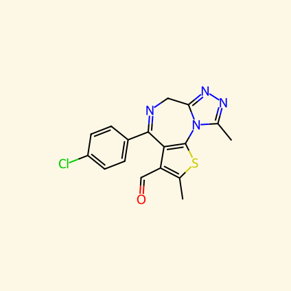 Cc1sc2c(c1C=O)C(c1ccc(Cl)cc1)=NCc1nnc(C)n1-2